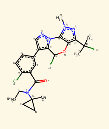 COCN(C(=O)c1cc(-c2cnn3c2C(F)Oc2c(C(F)(C(F)(F)F)C(F)(F)F)nn(C)c2-3)ccc1Cl)C1(C#N)CC1